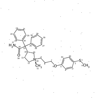 CSc1ccc(OCCC[N@+]2(C)CCC(C(C(N)=O)(c3ccccc3)c3ccccc3)C2)cc1